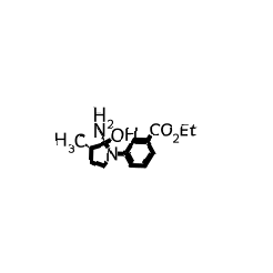 CCOC(=O)c1cccc(N2CC[C@H](C)[C@@]2(N)O)c1